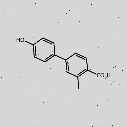 Cc1cc(-c2ccc(O)cc2)ccc1C(=O)O